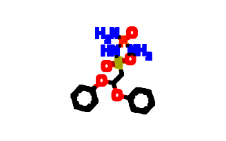 NP(N)(=O)NS(=O)(=O)CC(Oc1ccccc1)Oc1ccccc1